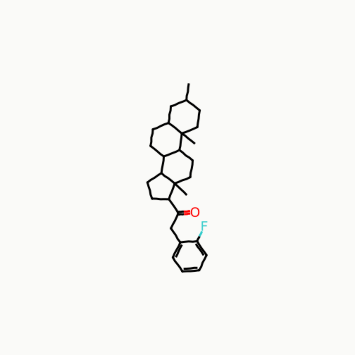 CC1CCC2(C)C(CCC3C2CCC2(C)C(C(=O)Cc4ccccc4F)CCC32)C1